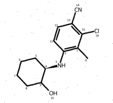 Cc1c(N[C@@H]2CCCCC2O)ccc(C#N)c1Cl